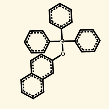 [c]1ccc2ccc(O[Si](c3ccccc3)(c3ccccc3)c3ccccc3)cc2c1